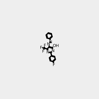 Oc1nc(-c2ccc(F)cc2)nc(C(F)(F)F)c1/N=N/c1ccccc1